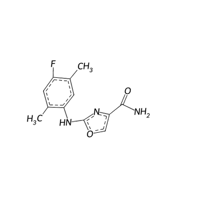 Cc1cc(Nc2nc(C(N)=O)co2)c(C)cc1F